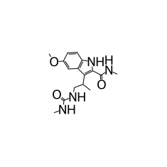 CNC(=O)NCC(C)c1c(C(=O)NC)[nH]c2ccc(OC)cc12